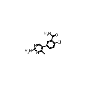 Cc1nc(N)ncc1-c1ccc(Cl)c(C(N)=O)c1